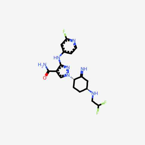 N=C1C[C@@H](NCC(F)F)CC[C@@H]1n1cc(C(N)=O)c(Nc2ccnc(F)c2)n1